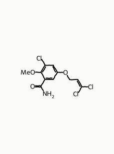 COc1c(Cl)cc(OCC=C(Cl)Cl)cc1C(N)=O